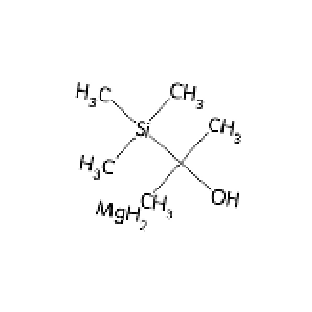 CC(C)(O)[Si](C)(C)C.[MgH2]